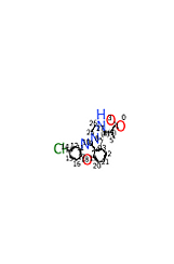 COC(=O)[C@@H](C)[C@@H]1CN(C2=Nc3cc(Cl)ccc3Oc3ccccc32)CCN1